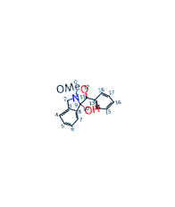 CON1Cc2ccccc2C1(O)C(=O)c1ccccc1